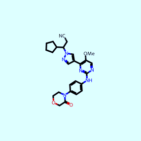 COc1cnc(Nc2ccc(N3CCOCC3=O)cc2)nc1-c1cnn(C(CC#N)C2CCCC2)c1